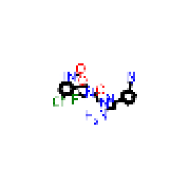 N#Cc1cccc(-c2cc(N)n(CC(=O)N3CC[C@@]4(C3)OC(=O)Nc3ccc(Cl)c(F)c34)n2)c1